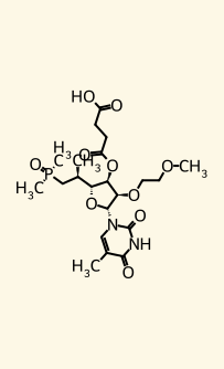 COCCO[C@@H]1[C@H](OC(=O)CCC(=O)O)[C@@H]([C@H](C)CP(C)(C)=O)O[C@H]1n1cc(C)c(=O)[nH]c1=O